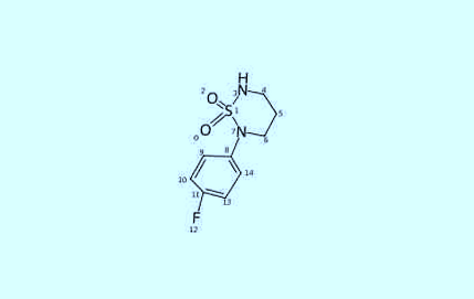 O=S1(=O)NCCCN1c1ccc(F)cc1